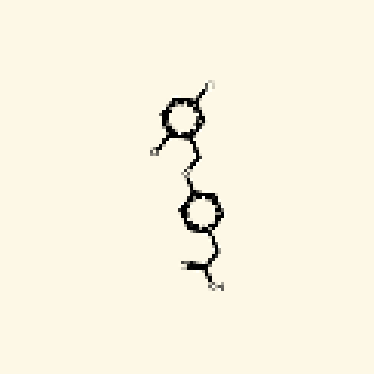 O=C(O)Cc1ccc(OCc2cc(Cl)ccc2Cl)cc1